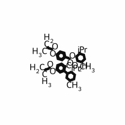 C=C(C)C(=O)Oc1ccc(C(=O)O)c(C2CC(C)CCC2C(C)C)c1.C=C(C)C(=O)Oc1ccc(C(=O)OC2CC(C)CCC2C(C)C)cc1